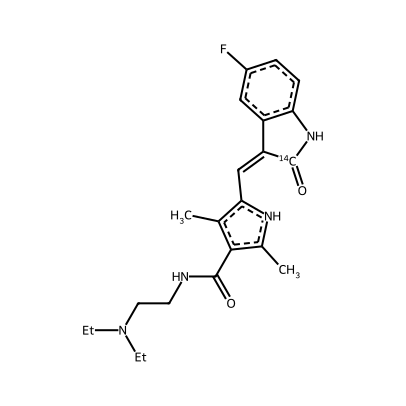 CCN(CC)CCNC(=O)c1c(C)[nH]c(C=C2c3cc(F)ccc3N[14C]2=O)c1C